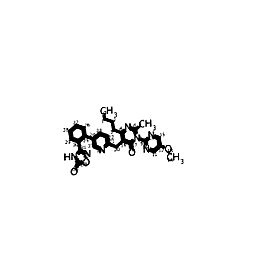 CCCCc1nc(C)n(-c2ncc(OC)cn2)c(=O)c1Cc1ccc(-c2ccccc2-c2noc(=O)[nH]2)cn1